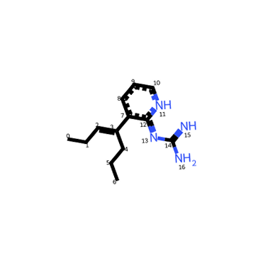 CC/C=C(\CCC)c1ccc[nH]/c1=N\C(=N)N